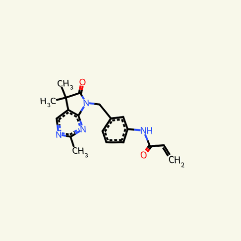 C=CC(=O)Nc1cccc(CN2C(=O)C(C)(C)c3cnc(C)nc32)c1